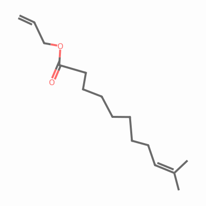 C=CCOC(=O)CCCCCCCC=C(C)C